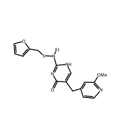 CCN(SCc1ccco1)c1nc(=O)c(Cc2ccnc(OC)c2)c[nH]1